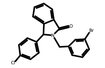 O=C1c2ccccc2C(c2ccc(Cl)cc2)N1Cc1cccc(Br)c1